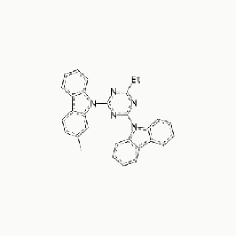 CCc1nc(-n2c3ccccc3c3ccccc32)nc(-n2c3ccccc3c3ccc(C)cc32)n1